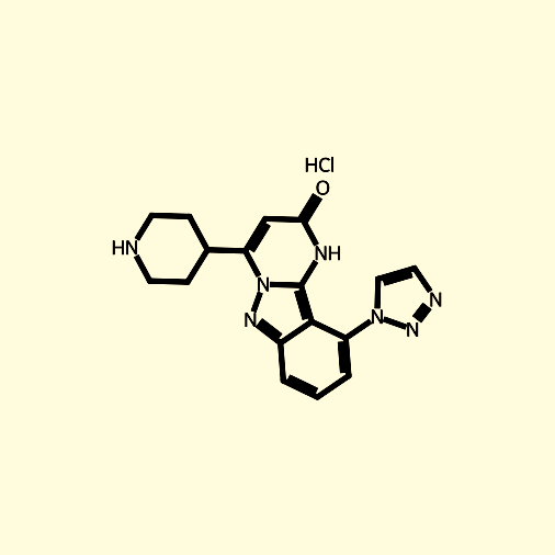 Cl.O=c1cc(C2CCNCC2)n2nc3cccc(-n4ccnn4)c3c2[nH]1